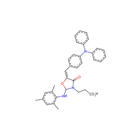 Cc1cc(C)c(NC2O/C(=C/c3ccc(N(c4ccccc4)c4ccccc4)cc3)C(=O)N2CCC(=O)O)c(C)c1